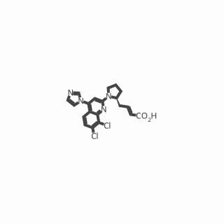 O=C(O)/C=C/C[C@@H]1CCCN1c1cc(-n2ccnc2)c2ccc(Cl)c(Cl)c2n1